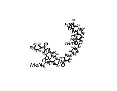 CN[C@@H](C)C(=O)N[C@H](C(=O)N1CCC[C@H]1c1nc(C(=O)c2ccc(F)cc2)cs1)C1CCN(C(=O)c2ccc(N3CCN(CCOc4cc5ncnc(Nc6n[nH]c(C)c6C)c5cc4S(=O)(=O)C(C)(C)C)CC3)nc2)CC1